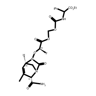 CCOC(=O)C(NC(=O)OCOC(=O)[C@@H](F)ON1C(=O)N2C[C@H]1C=C(C)[C@H]2C(N)=O)C(C)C